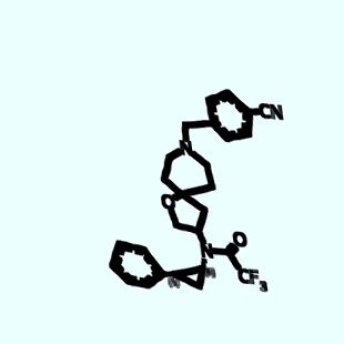 N#Cc1ccc(CN2CCC3(CC2)CC(N(C(=O)C(F)(F)F)[C@@H]2C[C@H]2c2ccccc2)CO3)cc1